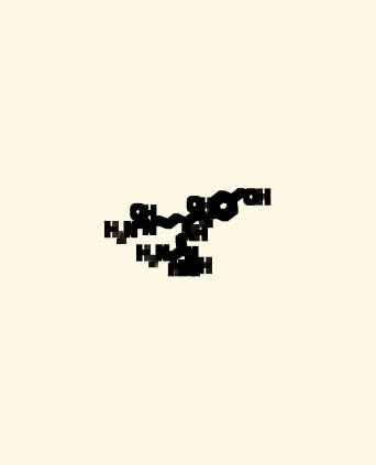 CCCC[C@@H](N)/C(=C/N[C@@H](CCCNC(N)=O)C(=O)Nc1ccc(CO)cc1)N=N